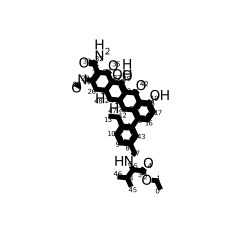 CCOC(=O)C(NCc1ccc(CC)c(-c2ccc(O)c3c2C[C@H]2C[C@H]4CC(N=O)=C(C(N)=O)C(=O)[C@@]4(O)C(O)=C2C3=O)c1)C(C)C